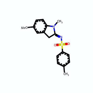 COc1ccc2c(c1)CC(=NS(=O)(=O)c1ccc(C)cc1)N2C